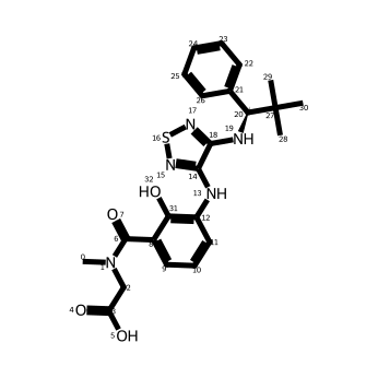 CN(CC(=O)O)C(=O)c1cccc(Nc2nsnc2N[C@@H](c2ccccc2)C(C)(C)C)c1O